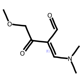 COCC(=O)/C(C=O)=C/N(C)C